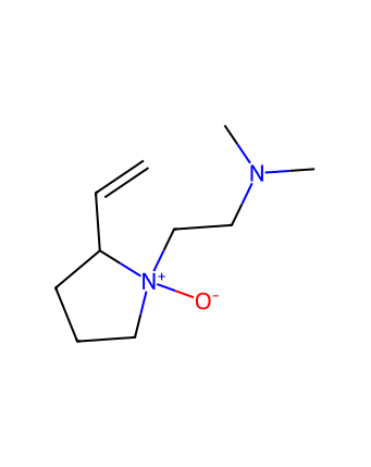 C=CC1CCC[N+]1([O-])CCN(C)C